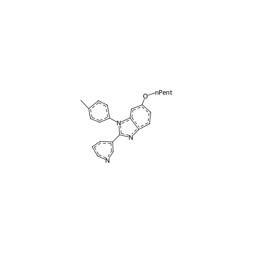 CCCCCOc1ccc2nc(-c3cccnc3)n(-c3ccc(C)cc3)c2c1